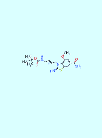 COc1cc(C(N)=O)cc2sc(=N)n(C/C=C/CNC(=O)OC(C)(C)C)c12